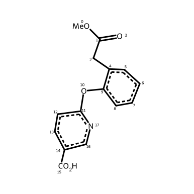 COC(=O)Cc1ccccc1Oc1ccc(C(=O)O)cn1